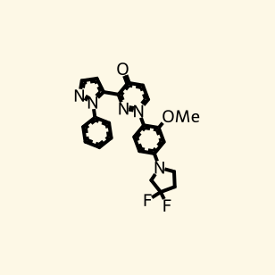 COc1cc(N2CCC(F)(F)C2)ccc1-n1ccc(=O)c(-c2ccnn2-c2ccccc2)n1